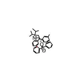 Cc1ccc(OP(=O)(c2ccccc2)c2ccccc2)c(C(CC(N)(C(C)C)C(C)C)c2ccccc2)c1